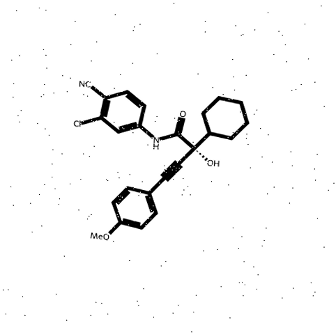 COc1ccc(C#C[C@@](O)(C(=O)Nc2ccc(C#N)c(Cl)c2)C2CCCCC2)cc1